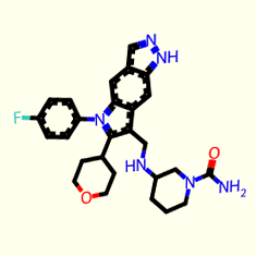 NC(=O)N1CCCC(NCc2c(C3CCOCC3)n(-c3ccc(F)cc3)c3cc4cn[nH]c4cc23)C1